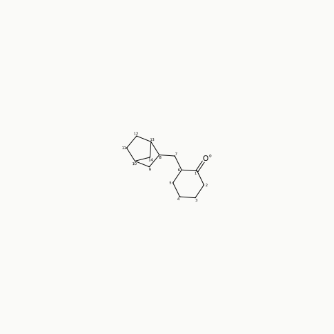 O=C1CCCCC1CC1CC2CCC1C2